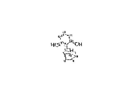 C1CC2CC12.Cc1c(O)cccc1O